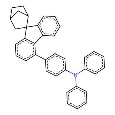 c1ccc(N(c2ccccc2)c2ccc(-c3cccc4c3-c3ccccc3C43CC4CCC3C4)cc2)cc1